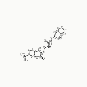 CCN(CC)c1ccc2c(c1)OC(=O)C(CCNC(=O)NCc1cnc3ccccc3c1)C2C